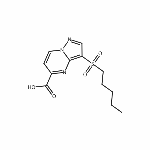 CCCCCS(=O)(=O)c1cnn2ccc(C(=O)O)nc12